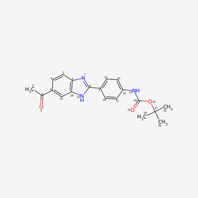 CC(=O)c1ccc2nc(-c3ccc(NC(=O)OC(C)(C)C)cc3)[nH]c2c1